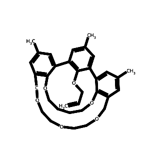 C=CCOc1c2cc(C)cc1-c1cc(C)cc3c1OCCCCOc1c(cc(C)cc1-2)COCCOCCOC3